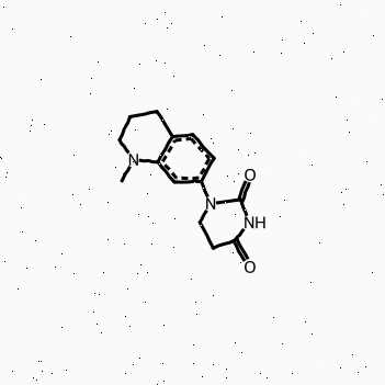 CN1CCCc2ccc(N3CCC(=O)NC3=O)cc21